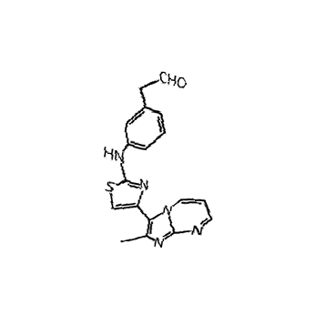 Cc1nc2ncccn2c1-c1csc(Nc2cccc(CC=O)c2)n1